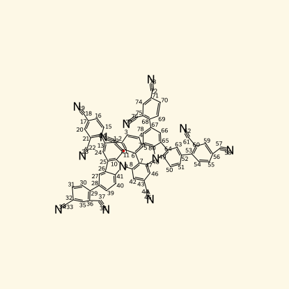 N#Cc1cccc(-c2c(-n3c4ccc(-c5ccc(C#N)cc5C#N)cc4c4cc(-c5ccc(C#N)cc5C#N)ccc43)cc(C#N)cc2-n2c3ccc(-c4ccc(C#N)cc4C#N)cc3c3cc(-c4ccc(C#N)cc4C#N)ccc32)c1